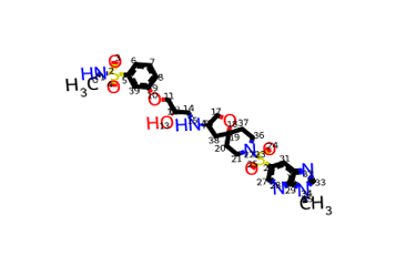 CNS(=O)(=O)c1cccc(OC[C@@H](O)CN[C@H]2COC3(CCN(S(=O)(=O)c4cnc5c(c4)ncn5C)CC3)C2)c1